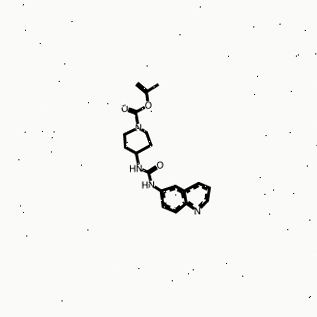 C=C(C)OC(=O)N1CCC(NC(=O)Nc2ccc3ncccc3c2)CC1